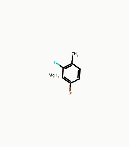 Cc1ccc(Br)cc1F.[MgH2]